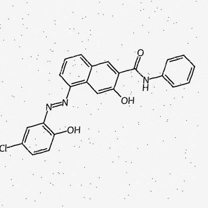 O=C(Nc1ccccc1)c1cc2cccc(N=Nc3cc(Cl)ccc3O)c2cc1O